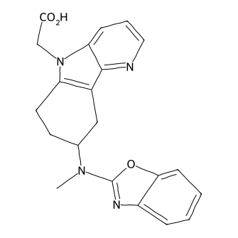 CN(c1nc2ccccc2o1)C1CCc2c(c3ncccc3n2CC(=O)O)C1